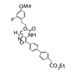 CCOC(=O)Cc1ccc(-c2ccc(-c3onc(C)c3NC(=O)OCCc3ccc(OC)cc3F)cc2)cc1